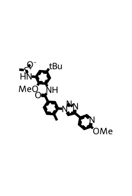 COc1ccc(-c2cn(-c3cc(C(=O)Nc4cc(C(C)(C)C)cc(N[S+](C)[O-])c4OC)ccc3C)nn2)cn1